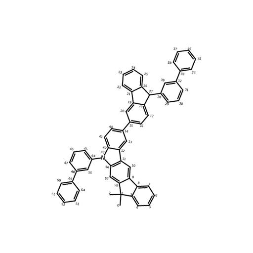 CC1(C)c2ccccc2-c2cc3c4cc(-c5ccc6c(c5)-c5ccccc5C6c5cccc(-c6ccccc6)c5)ccc4n(-c4cccc(-c5ccccc5)c4)c3cc21